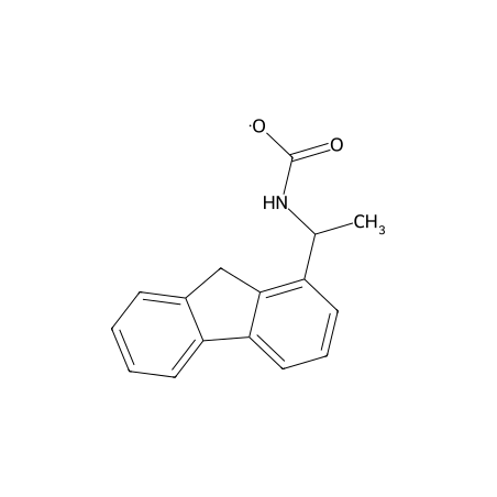 CC(NC([O])=O)c1cccc2c1Cc1ccccc1-2